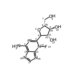 Nc1nc(C2O[C@H](CO)[C@@H](O)[C@@H]2O)n(F)c2ncnc1-2